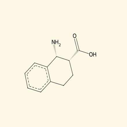 N[C@H]1c2ccccc2CC[C@H]1C(=O)O